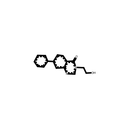 O=c1c2ccc(-c3ccccc3)cc2ncn1CCO